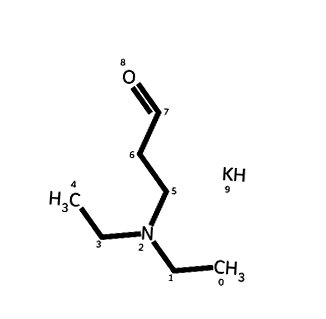 CCN(CC)CCC=O.[KH]